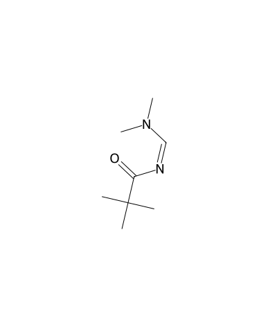 CN(C)/C=N\C(=O)C(C)(C)C